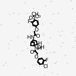 CS(=O)(=O)c1ccc(OCC(=O)NC2=C3CC(NC(=O)COc4ccc(Cl)c(F)c4)(C3)[C@@H](O)C2)cc1F